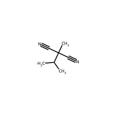 [CH2]C(C)C(C)(C#N)C#N